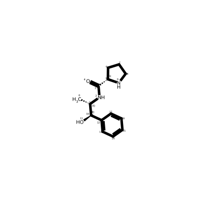 C[C@H](NC(=O)[C@@H]1CCCN1)[C@H](O)c1ccccc1